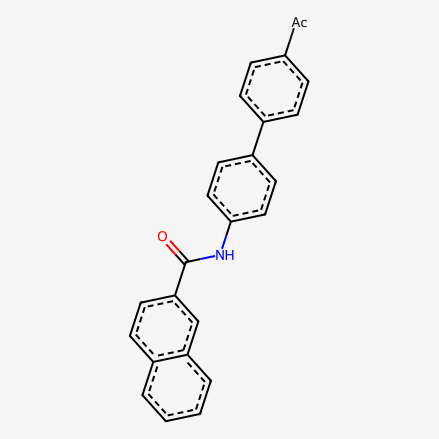 CC(=O)c1ccc(-c2ccc(NC(=O)c3ccc4ccccc4c3)cc2)cc1